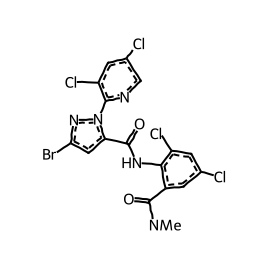 CNC(=O)c1cc(Cl)cc(Cl)c1NC(=O)c1cc(Br)nn1-c1ncc(Cl)cc1Cl